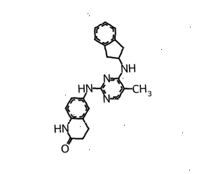 Cc1cnc(Nc2ccc3c(c2)CCC(=O)N3)nc1NC1Cc2ccccc2C1